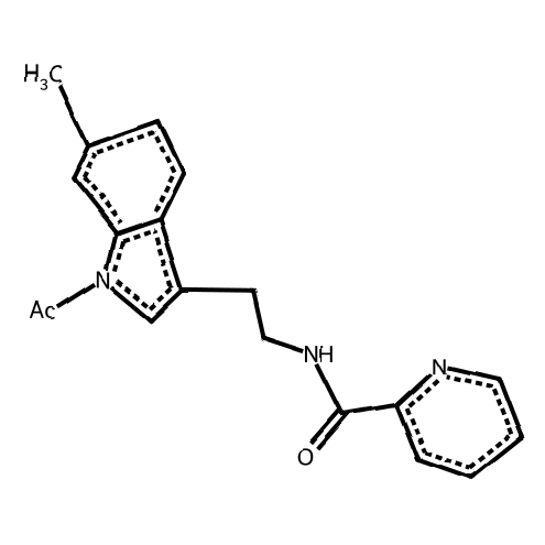 CC(=O)n1cc(CCNC(=O)c2ccccn2)c2ccc(C)cc21